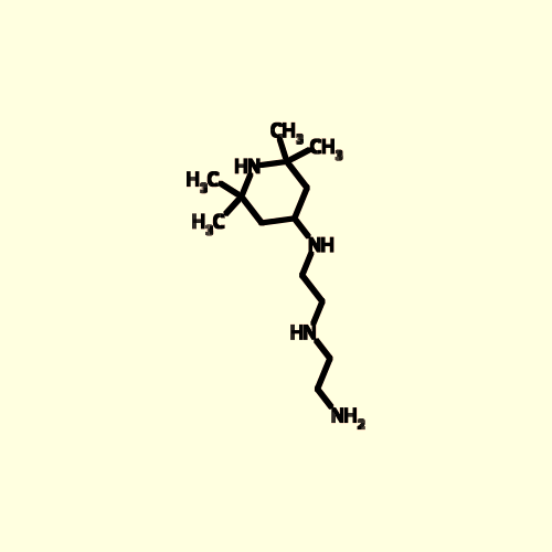 CC1(C)CC(NCCNCCN)CC(C)(C)N1